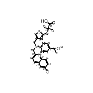 CCc1cnc(N(Cc2csc(SC(C)(C)C(=O)O)n2)Cc2ccc3cc(Cl)ccc3n2)nc1.Cl